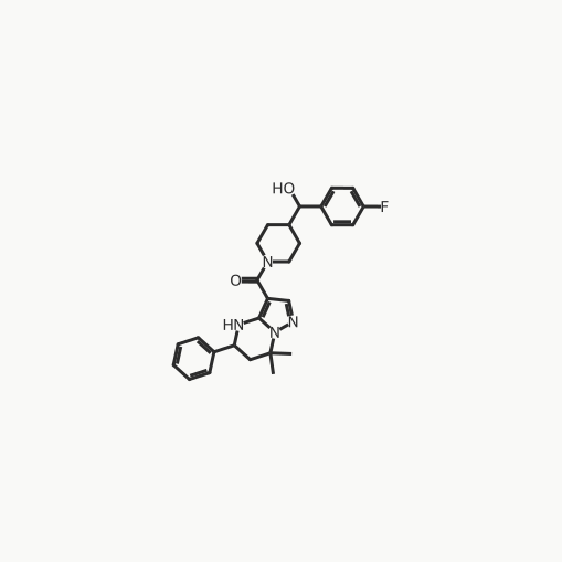 CC1(C)CC(c2ccccc2)Nc2c(C(=O)N3CCC(C(O)c4ccc(F)cc4)CC3)cnn21